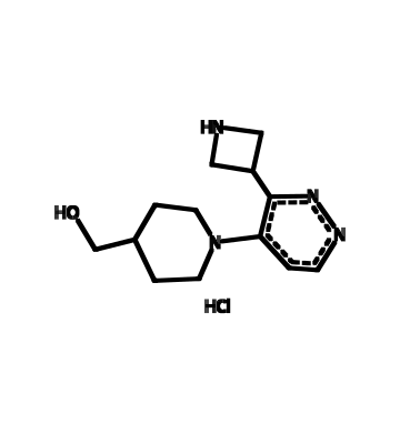 Cl.OCC1CCN(c2ccnnc2C2CNC2)CC1